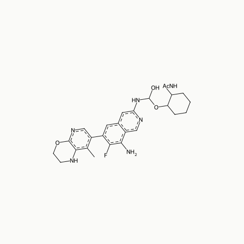 CC(=O)NC1CCCCC1OC(O)Nc1cc2cc(-c3cnc4c(c3C)NCCO4)c(F)c(N)c2cn1